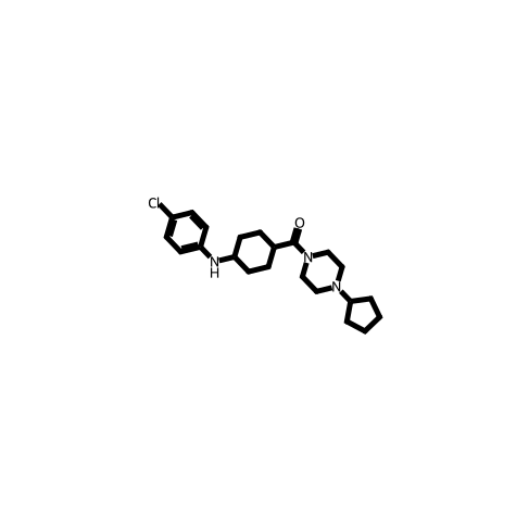 O=C(C1CCC(Nc2ccc(Cl)cc2)CC1)N1CCN(C2CCCC2)CC1